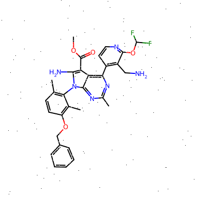 COC(=O)c1c(N)n(-c2c(C)ccc(OCc3ccccc3)c2C)c2nc(C)nc(-c3ccnc(OC(F)F)c3CN)c12